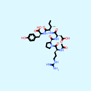 CC[C@H](C)[C@H](NC(=O)[C@H](CC(=O)O)NC(=O)[C@@H]1CCCN1C(=O)[C@H](CCCNC(=N)N)NC(C)=O)C(=O)N[C@@H](Cc1ccc(O)cc1)C(=O)O